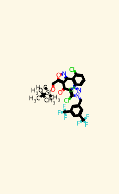 CC(C)(C)[Si](C)(C)OCc1onc(-c2c(Cl)cccc2Cl)c1C(=O)c1nnn(Cc2cc(C(F)(F)F)cc(C(F)(F)F)c2)c1Cl